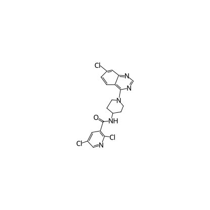 O=C(NC1CCN(c2ncnc3cc(Cl)ccc23)CC1)c1cc(Cl)cnc1Cl